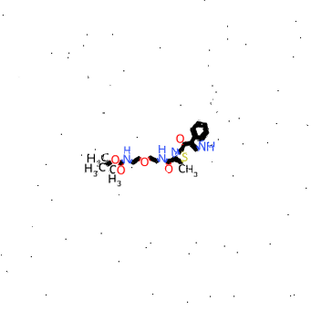 Cc1sc(C(=O)c2c[nH]c3ccccc23)nc1C(=O)NCCOCCNC(=O)OC(C)(C)C